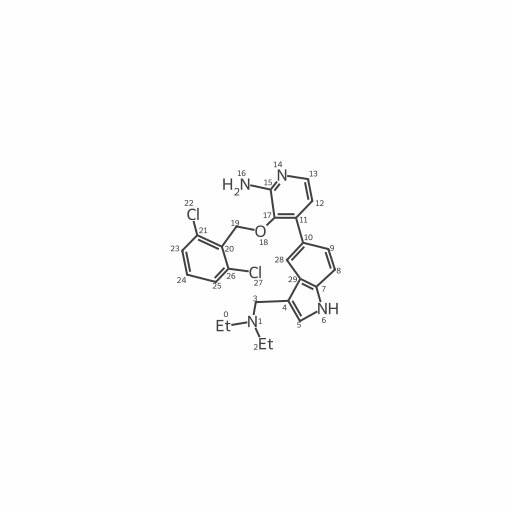 CCN(CC)Cc1c[nH]c2ccc(-c3ccnc(N)c3OCc3c(Cl)cccc3Cl)cc12